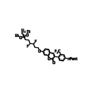 CCCCCc1ccc(-c2cc3ccc(OCCC(F)C(F)CC[Si](C)(OCC)OCC)cc3oc2=O)c(C(F)(F)F)c1